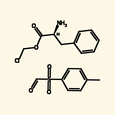 Cc1ccc(S(=O)(=O)C=O)cc1.N[C@@H](Cc1ccccc1)C(=O)OCCl